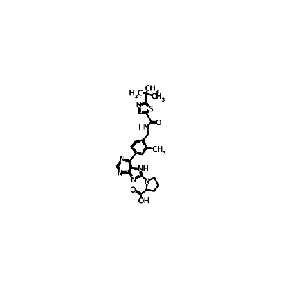 Cc1cc(-c2ncnc3nc(N4CCCC4C(=O)O)[nH]c23)ccc1CNC(=O)c1cnc(C(C)(C)C)s1